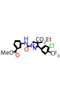 CCOC(=O)C1(C)CN(C(=O)Nc2cccc(C(=O)OC)c2)N=C1c1ccc(C(F)(F)F)c(Cl)c1